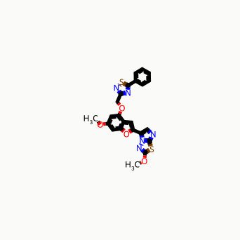 COc1cc(OCc2nsc(-c3ccccc3)n2)c2cc(-c3cnc4sc(OC)nn34)oc2c1